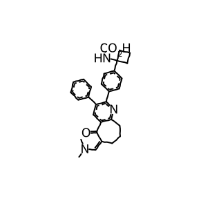 CN(C)/C=C1/CCCc2nc(-c3ccc(C4(NC(=O)O)CCC4)cc3)c(-c3ccccc3)cc2C1=O